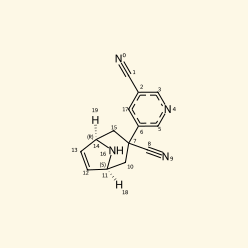 N#Cc1cncc(C2(C#N)C[C@H]3C=C[C@@H](C2)N3)c1